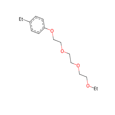 CCOCCOCCOCCOc1ccc(CC)cc1